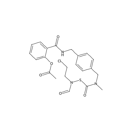 CC(=O)Oc1ccccc1C(=O)NCc1ccc(CN(C)C(=O)SN(C=O)CCCl)cc1